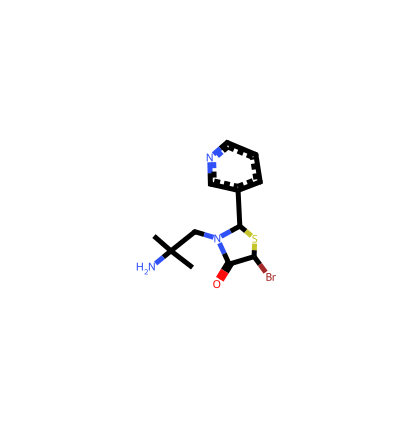 CC(C)(N)CN1C(=O)C(Br)SC1c1cccnc1